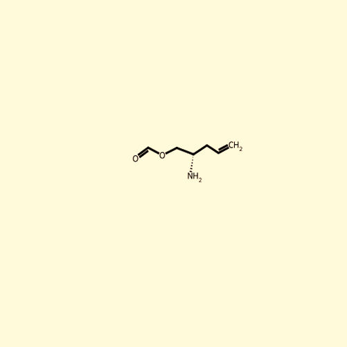 C=CC[C@H](N)COC=O